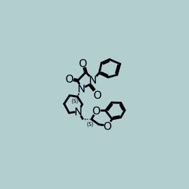 O=C1C(=O)N([C@H]2CCCN(C[C@H]3COc4ccccc4O3)C2)C(=O)N1c1ccccc1